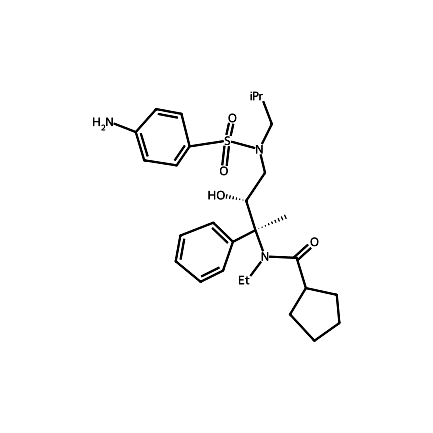 CCN(C(=O)C1CCCC1)[C@@](C)(c1ccccc1)[C@H](O)CN(CC(C)C)S(=O)(=O)c1ccc(N)cc1